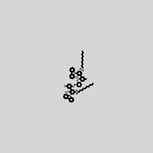 CCCCCCCCCC[Si](C)(C)c1cc(-c2cc(F)ccc2OC[C@@H]2CCCC[C@H]2COc2ccc(F)cc2-c2cc([Si](C)(C)CCCCCCCCCC)cc(-n3c4ccccc4c4ccccc43)c2O)c(O)c(-n2c3ccccc3c3ccccc32)c1